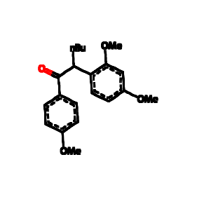 CCCCC(C(=O)c1ccc(OC)cc1)c1ccc(OC)cc1OC